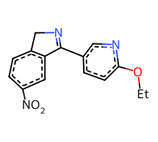 CCOc1ccc(C2=NCc3ccc([N+](=O)[O-])cc32)cn1